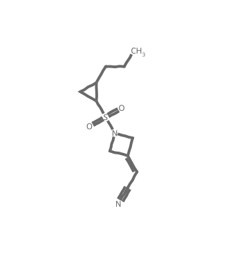 CCCC1CC1S(=O)(=O)N1CC(=CC#N)C1